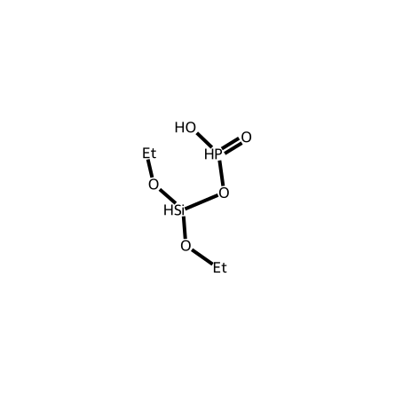 CCO[SiH](OCC)O[PH](=O)O